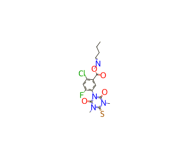 CCCC=NOC(=O)c1cc(-n2c(=O)n(C)c(=S)n(C)c2=O)c(F)cc1Cl